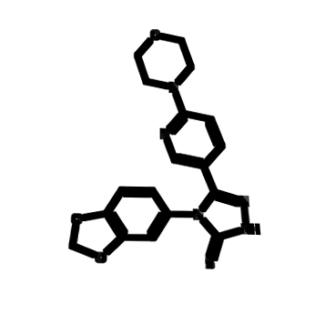 S=c1[nH]nc(-c2ccc(N3CCOCC3)nc2)n1-c1ccc2c(c1)OCO2